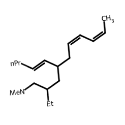 C/C=C\C=C/CC(C=CCCC)CC(CC)CNC